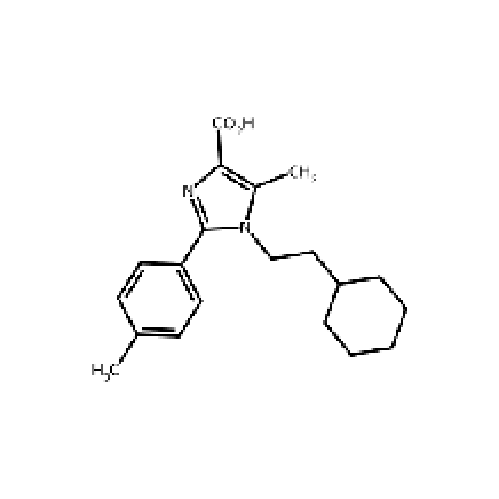 Cc1ccc(-c2nc(C(=O)O)c(C)n2CCC2CCCCC2)cc1